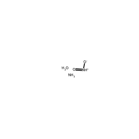 N.O.O=[NH+][O-]